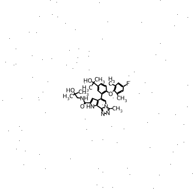 Cc1cc(F)cc(C)c1Oc1ccc(C(C)(C)O)cc1-c1cn2c(C)nnc2c2[nH]c(C(=O)NCC(C)(C)O)cc12